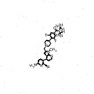 [2H]C([2H])([2H])N(C(=O)c1cc(F)c(C2=CCN(Cc3cc4c(-c5ccc(N)nc5C#N)ccnc4n3C)CC2)c(F)c1)C([2H])([2H])[2H]